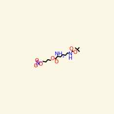 CC(C)(C)OC(=O)NCCCCC(N)C(=O)OCCCCO[N+](=O)[O-]